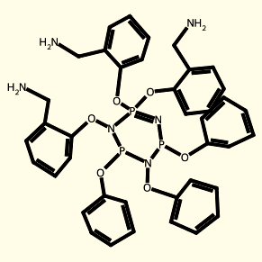 NCc1ccccc1ON1P(Oc2ccccc2)N(Oc2ccccc2)P(Oc2ccccc2)N=P1(Oc1ccccc1CN)Oc1ccccc1CN